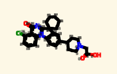 O=C(O)CN1CCC(c2ccc3c(c2)C2(CCCCC2)c2nc(=O)c4c(Cl)cccc4n2-3)CC1